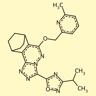 Cc1cccc(COc2nn3c(-c4nc(C(C)C)no4)nnc3c3c2C2CCC3CC2)n1